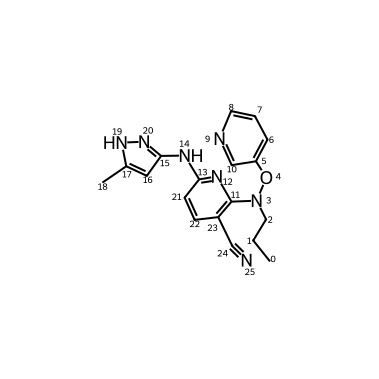 CCCN(Oc1cccnc1)c1nc(Nc2cc(C)[nH]n2)ccc1C#N